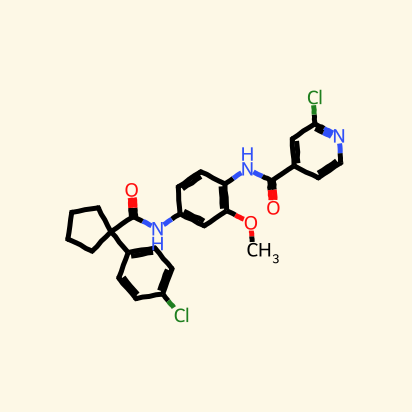 COc1cc(NC(=O)C2(c3ccc(Cl)cc3)CCCC2)ccc1NC(=O)c1ccnc(Cl)c1